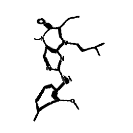 CCC1C(=O)N(C)c2cnc(Nc3ccc(C)cc3OC)nc2N1CCC(C)C